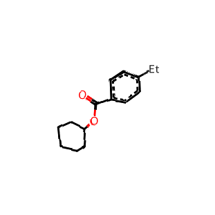 CCc1ccc(C(=O)OC2CCCCC2)cc1